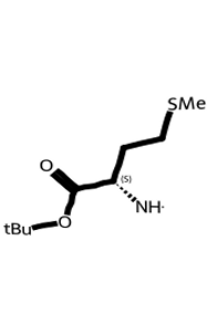 CSCC[C@H]([NH])C(=O)OC(C)(C)C